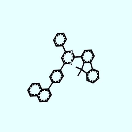 CC1(C)c2ccccc2-c2cccc(-c3nc(-c4ccccc4)cc(-c4ccc(-c5cccc6ccccc56)cc4)n3)c21